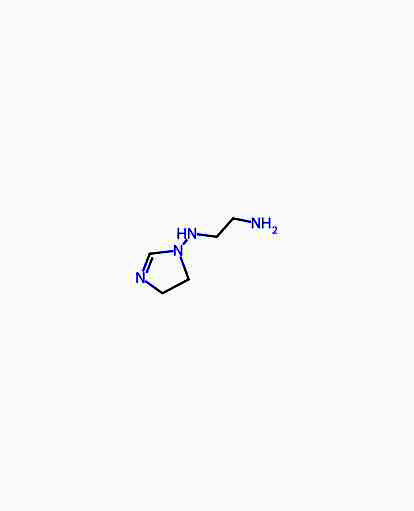 NCCNN1C=NCC1